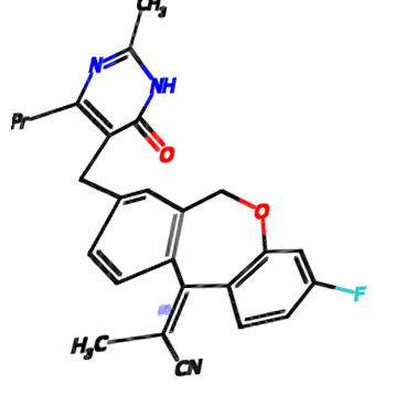 CCCc1nc(C)[nH]c(=O)c1Cc1ccc2c(c1)COc1cc(F)ccc1/C2=C(/C)C#N